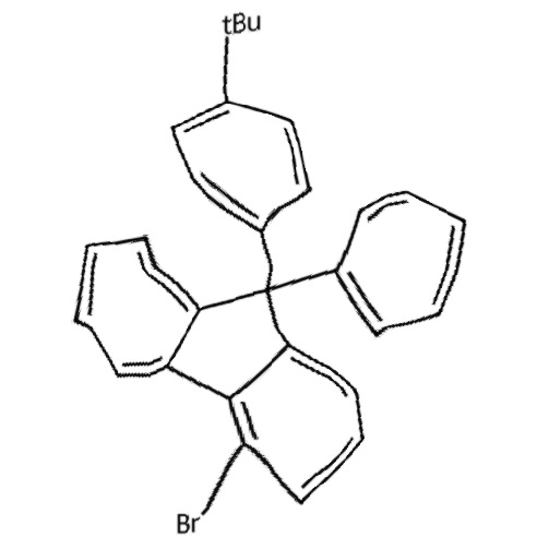 CC(C)(C)c1ccc(C2(c3ccccc3)c3ccccc3-c3c(Br)cccc32)cc1